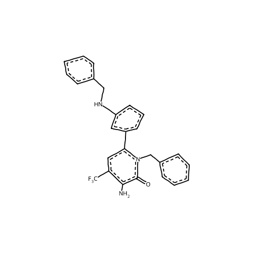 Nc1c(C(F)(F)F)cc(-c2cccc(NCc3ccccc3)c2)n(Cc2ccccc2)c1=O